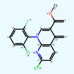 C=C(OCC)C1=CN(c2c(F)cccc2Cl)c2nc(Cl)ccc2C1=C